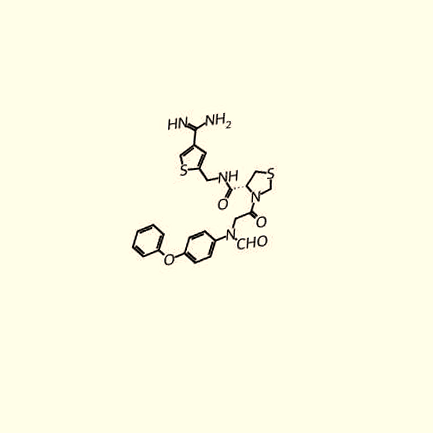 N=C(N)c1csc(CNC(=O)[C@@H]2CSCN2C(=O)CN(C=O)c2ccc(Oc3ccccc3)cc2)c1